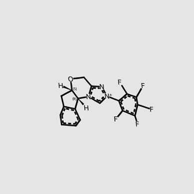 Fc1c(F)c(F)c(-[n+]2cn3c(n2)CO[C@H]2Cc4ccccc4[C@H]23)c(F)c1F